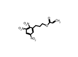 C=CC(=O)OCCCc1cc([N+](=O)[O-])cc([N+](=O)[O-])c1[N+](=O)[O-]